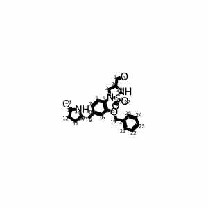 O=CC1CN(c2ccc(C[C@@H]3CCC(=O)N3)cc2OCc2ccccc2)S(=O)(=O)N1